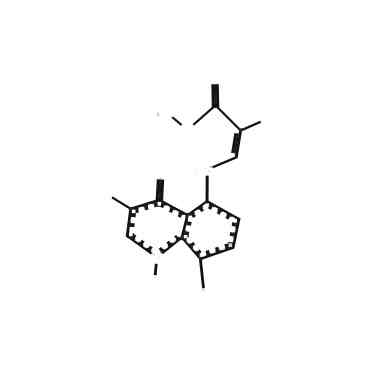 CCC(C)OC(=O)C(=CNc1ccc(F)c2c1c(=O)c(C(=O)O)cn2CC)C(=O)O